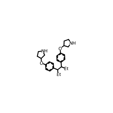 CCC(c1ccc(OC2CCNC2)cc1)C(CC)c1ccc(OC2CCNC2)cc1